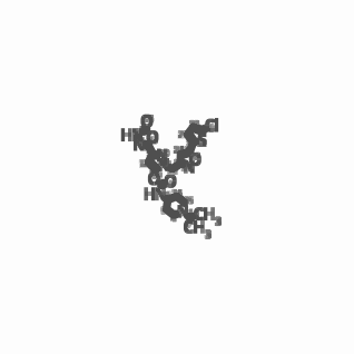 CC(C)N1CCC(NC(=O)Oc2cc(-c3n[nH]c(=O)o3)nn2Cc2cc(-c3ccc(Cl)s3)on2)CC1